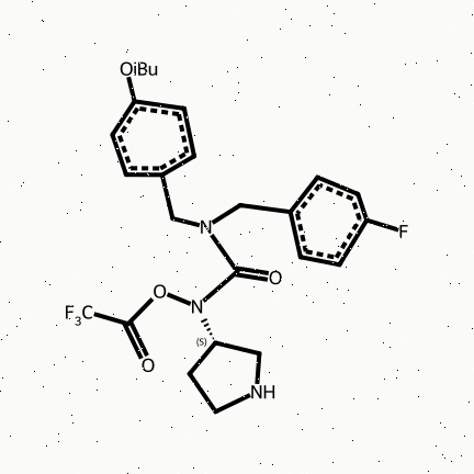 CC(C)COc1ccc(CN(Cc2ccc(F)cc2)C(=O)N(OC(=O)C(F)(F)F)[C@H]2CCNC2)cc1